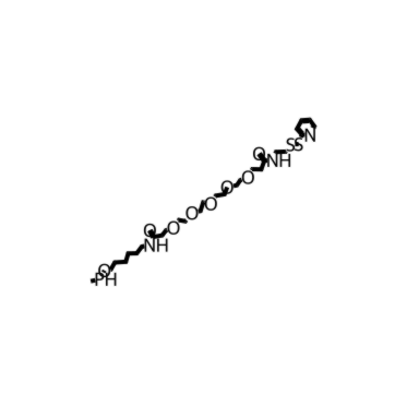 CPOCCCCCCNC(=O)CCOCCOCCOCCOCCOCCC(=O)NCCSSc1ccccn1